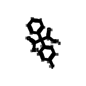 NC(=O)C(C(N)=O)(c1ccccc1)c1ccc(F)cc1